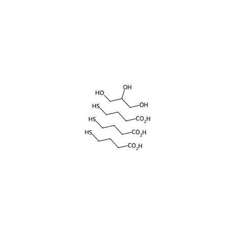 O=C(O)CCCS.O=C(O)CCCS.O=C(O)CCCS.OCC(O)CO